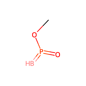 B=P(=O)OC